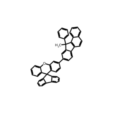 CC1(c2ccccc2)c2cc(-c3ccc4c(c3)Oc3ccccc3C43c4ccccc4-c4ccccc43)ccc2-c2ccc3ccccc3c21